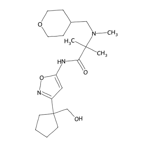 CN(CC1CCOCC1)C(C)(C)C(=O)Nc1cc(C2(CO)CCCC2)no1